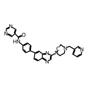 O=C(Nc1ccc(-c2ccc3ncc(N4CCN(Cc5cccnc5)CC4)nc3c2)cc1)c1cncnc1